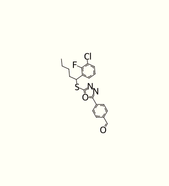 CCCCC(Sc1nnc(-c2ccc(C=O)cc2)o1)c1cccc(Cl)c1F